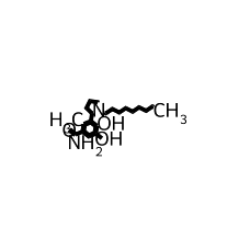 CCCCCCCCCN1CCCC1c1c(C)c(C(N)=O)cc(O)c1O